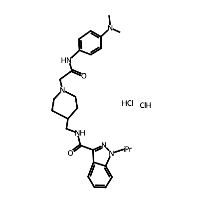 CC(C)n1nc(C(=O)NCC2CCN(CC(=O)Nc3ccc(N(C)C)cc3)CC2)c2ccccc21.Cl.Cl